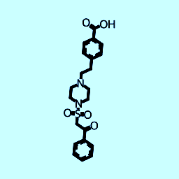 O=C(O)c1ccc(CCN2CCN(S(=O)(=O)CC(=O)c3ccccc3)CC2)cc1